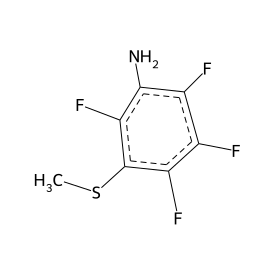 CSc1c(F)c(N)c(F)c(F)c1F